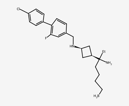 BCCCCC(N)(CC)[C@H]1C[C@@H](NCc2ccc(-c3ccc(Cl)cc3)c(F)c2)C1